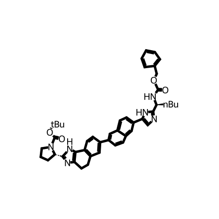 CCCC[C@H](NC(=O)OCc1ccccc1)c1ncc(-c2ccc3cc(-c4ccc5c(c4)CCc4nc([C@@H]6CCCN6C(=O)OC(C)(C)C)[nH]c4-5)ccc3c2)[nH]1